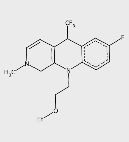 CCOCCN1C2=C(C=CN(C)C2)C(C(F)(F)F)c2cc(F)ccc21